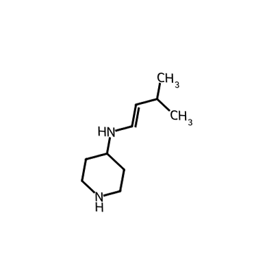 CC(C)C=CNC1CCNCC1